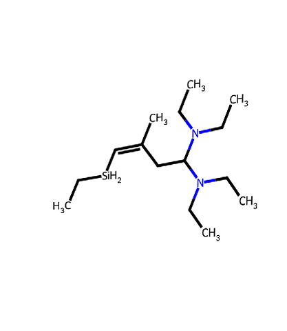 CC[SiH2]C=C(C)CC(N(CC)CC)N(CC)CC